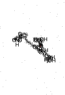 CC(C)(C)[C@H](NC(=O)c1cc2cc(C(F)(F)P(=O)(O)O)ccc2s1)C(=O)N1C[C@@H](OCCCCCCC#Cc2cccc3c2CN(C2CCC(=O)NC2=O)C3=O)C[C@H]1C(=O)N1CCS(O)(O)C(c2ccccc2)C1